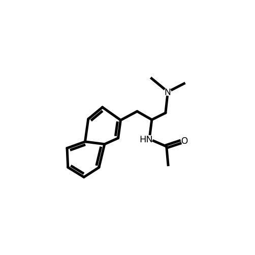 CC(=O)NC(Cc1ccc2ccccc2c1)CN(C)C